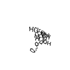 C=C(C)C1=C(O)C[C@@H]2C[C@@H]3Cc4c(-c5cccc(CCCc6ccccc6)c5)ccc(O)c4C(=O)C3=C(O)[C@]2(O)C1=O